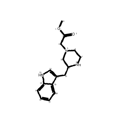 COC(=O)CN1CCNC(Cc2c[nH]c3ccccc23)C1